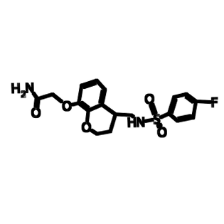 NC(=O)COc1cccc2c1OCCC2CNS(=O)(=O)c1ccc(F)cc1